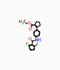 CCOC(=O)C1=C(c2ccc(NC(=O)c3c(F)cccc3F)cc2)CCC1